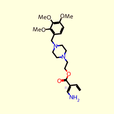 C=C/C(=C\N)C(=O)OCCN1CCN(Cc2ccc(OC)c(OC)c2OC)CC1